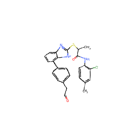 Cc1ccc(NC(=O)C(C)Sc2nc3cccc(-c4ccc(CC=O)cc4)c3[nH]2)c(Cl)c1